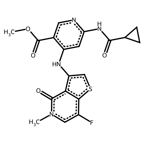 COC(=O)c1cnc(NC(=O)C2CC2)cc1Nc1csc2c(F)cn(C)c(=O)c12